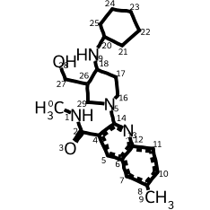 CNC(=O)c1cc2cc(C)ccc2nc1N1CCC(NC2CCCCC2)C(CO)C1